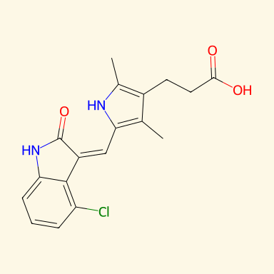 Cc1[nH]c(/C=C2\C(=O)Nc3cccc(Cl)c32)c(C)c1CCC(=O)O